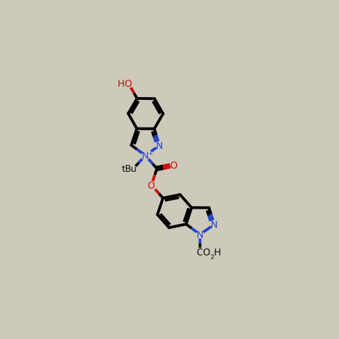 CC(C)(C)[N+]1(C(=O)Oc2ccc3c(cnn3C(=O)O)c2)C=c2cc(O)ccc2=N1